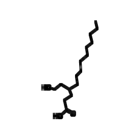 CCCCCCCCCCC(CCO)CCC(=O)O